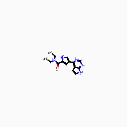 CC(C)CN(CC(C)C)C(=O)c1cc(-c2ncnc3[nH]ccc23)c[nH]1